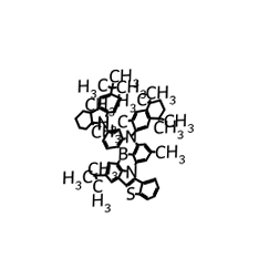 Cc1cc2c3c(c1)-n1c4c(cc(C(C)(C)C)cc4c4sc5ccccc5c41)B3c1ccc(N3c4ccc(C(C)(C)C)cc4C4(C)CCCCC34C)cc1N2c1cc2c(cc1C)C(C)(C)CCC2(C)C